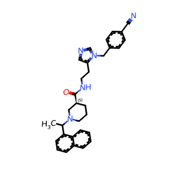 CC(c1cccc2ccccc12)N1CCC[C@H](C(=O)NCCc2cncn2Cc2ccc(C#N)cc2)C1